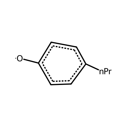 CCCc1ccc([O])cc1